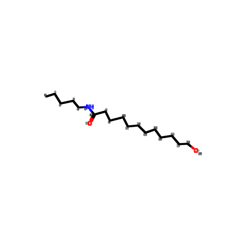 CCCCCNC(=O)CCCCCCCCCCC[O]